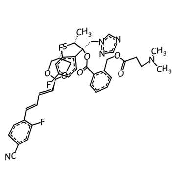 C[C@@H](S[C@H]1CO[C@H](C=CC=Cc2ccc(C#N)cc2F)OC1)[C@@](Cn1cncn1)(OC(=O)c1ccccc1COC(=O)CCN(C)C)c1ccc(F)cc1F